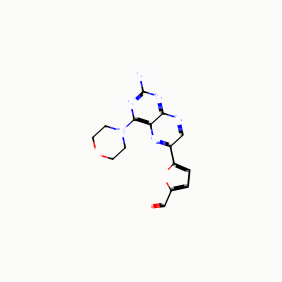 Nc1nc(N2CCOCC2)c2nc(-c3ccc(C=O)o3)cnc2n1